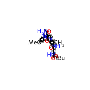 COc1ccc(-n2nc(C(N)=O)c3c2C(=O)N(c2ccc(NC(=O)CCCNC(=O)OC(C)(C)C)c(C)c2)CC3)cc1